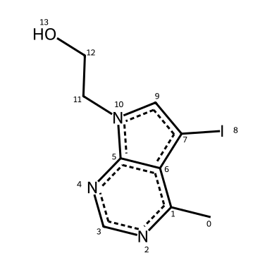 Cc1ncnc2c1c(I)cn2CCO